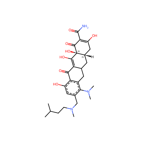 CC(C)CCN(C)Cc1cc(O)c2c(c1N(C)C)CC1C[C@H]3CC(O)=C(C(N)=O)C(=O)[C@@]3(O)C(O)=C1C2=O